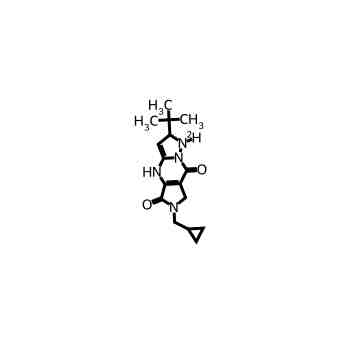 [2H]N1C(C(C)(C)C)C=C2NC3=C(CN(CC4CC4)C3=O)C(=O)N21